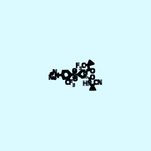 N#CC1(NC(=O)[C@@H]2C[C@@H](S(=O)(=O)c3ccc(-n4cncn4)cc3C(F)(F)F)CN2C(=O)C2(C(F)(F)F)CC2)CC1